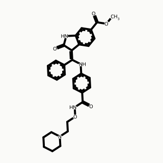 COC(=O)c1ccc2c(c1)NC(=O)C2=C(Nc1ccc(C(=O)NOCCN2CCCCC2)cc1)c1ccccc1